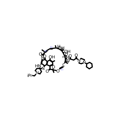 C/C1=C/C=C/C(C)[C@H](O)[C@@H](C)C(O)[C@@H](C)[C@H](OC(=O)CC(=O)N2CCN(C3CCCCC3)CC2)[C@H](C)C/C=C/OC2(C)Oc3c(C)c(O)c4c(c3C2=O)C2=NC3(CCN(CC(C)C)CC3)NC2=C(NC1=O)C4=O